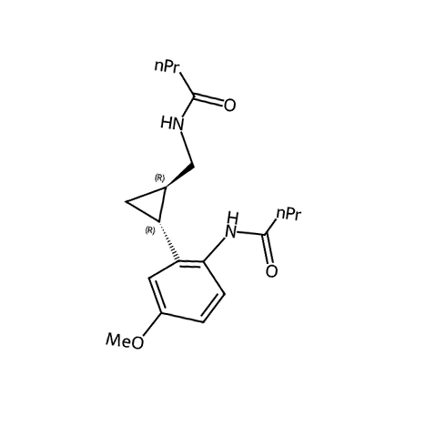 CCCC(=O)NC[C@@H]1C[C@H]1c1cc(OC)ccc1NC(=O)CCC